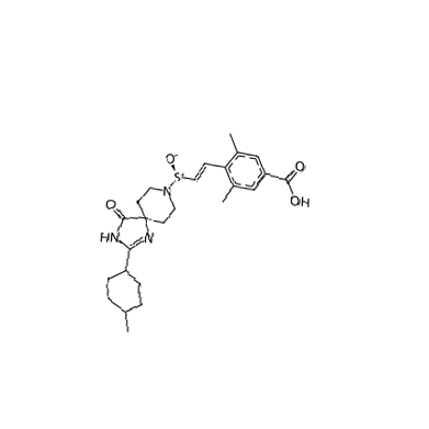 Cc1cc(C(=O)O)cc(C)c1/C=C/[S@+]([O-])N1CCC2(CC1)N=C(C1CCC(C)CC1)NC2=O